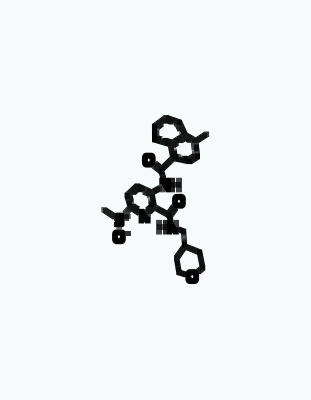 Cc1ccc(C(=O)Nc2ccc([S+](C)[O-])nc2C(=O)NCC2CCOCC2)c2ccccc12